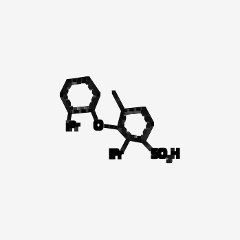 Cc1ccc(S(=O)(=O)O)c(C(C)C)c1Oc1ccccc1C(C)C